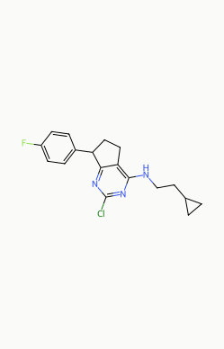 Fc1ccc(C2CCc3c(NCCC4CC4)nc(Cl)nc32)cc1